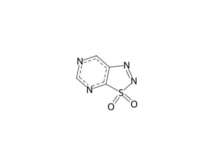 O=S1(=O)N=Nc2cncnc21